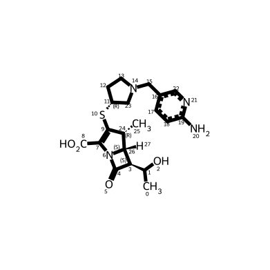 CC(O)[C@H]1C(=O)N2C(C(=O)O)=C(S[C@@H]3CCN(Cc4ccc(N)nc4)C3)[C@H](C)[C@H]12